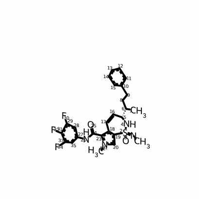 CN=S1(=O)N[C@@H](C(C)CCc2ccccc2)C=Cc2c1cn(C)c2C(=O)Nc1cc(F)c(F)c(F)c1